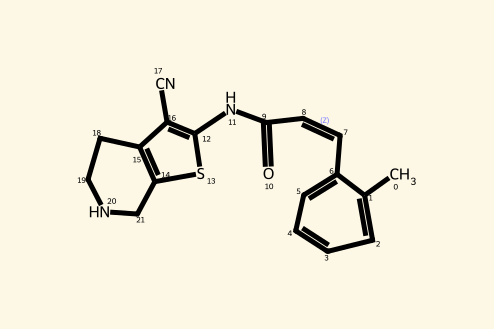 Cc1ccccc1/C=C\C(=O)Nc1sc2c(c1C#N)CCNC2